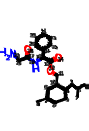 CC(C)CC1CC[C@@H](C)C[C@H]1COC(=O)C(NC(=O)CN)c1ccccc1